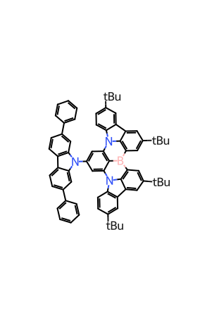 CC(C)(C)c1ccc2c(c1)c1cc(C(C)(C)C)cc3c1n2-c1cc(-n2c4cc(-c5ccccc5)ccc4c4ccc(-c5ccccc5)cc42)cc2c1B3c1cc(C(C)(C)C)cc3c4cc(C(C)(C)C)ccc4n-2c13